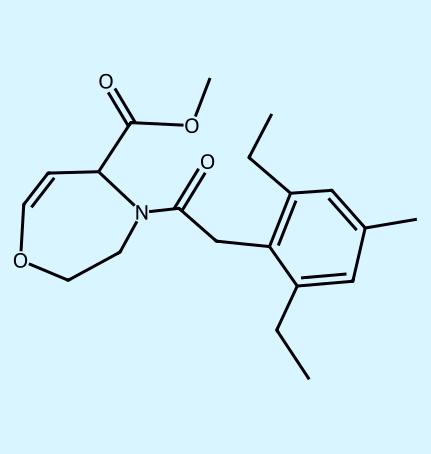 CCc1cc(C)cc(CC)c1CC(=O)N1CCOC=CC1C(=O)OC